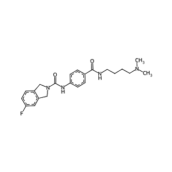 CN(C)CCCCNC(=O)c1ccc(NC(=O)N2Cc3ccc(F)cc3C2)cc1